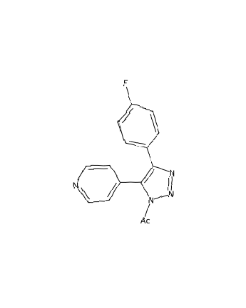 CC(=O)n1nnc(-c2ccc(F)cc2)c1-c1ccncc1